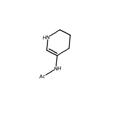 CC(=O)NC1=CNCCC1